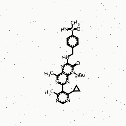 CC[C@H](C)n1c(=O)c(NCc2ccc(S(C)(=N)=O)cc2)nc2c(C)nc(-c3c(C)ncnc3C3CC3)nc21